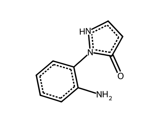 Nc1ccccc1-n1[nH]ccc1=O